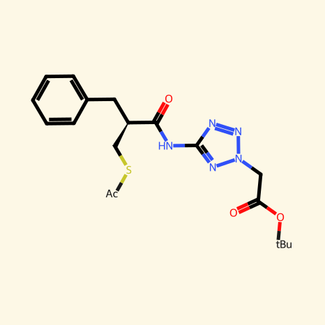 CC(=O)SC[C@@H](Cc1ccccc1)C(=O)Nc1nnn(CC(=O)OC(C)(C)C)n1